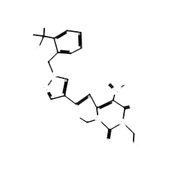 CCn1c(C=Cc2cnn(Cc3ccccc3C(F)(F)F)c2)c([N+](=O)[O-])c(=O)n(CC)c1=O